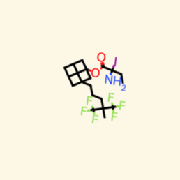 CCC(N)(I)C(=O)OC12CC3CC4CC(CCCC(C)(C(F)(F)F)C(F)(F)F)(C1)C432